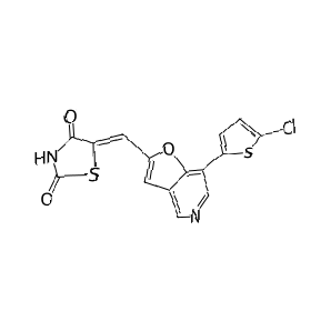 O=C1NC(=O)/C(=C/c2cc3cncc(-c4ccc(Cl)s4)c3o2)S1